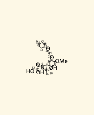 COc1ccc([C@@H]2CN(C(=O)C(O)CO)C[C@@]2(C)[C@@H](C)O)cc1OCCCOc1ccc(F)cc1